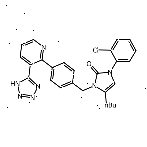 CCCCc1cn(-c2ccccc2Cl)c(=O)n1Cc1ccc(-c2ncccc2-c2nnn[nH]2)cc1